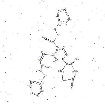 O=C1CNC(c2ccc(C(=O)OCc3ccccc3)c(/N=C\C(=O)OCc3ccccc3)n2)C(=O)N1